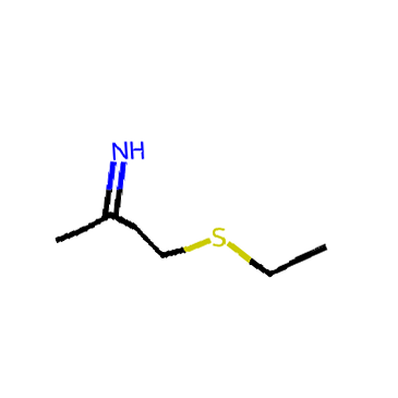 CCSCC(C)=N